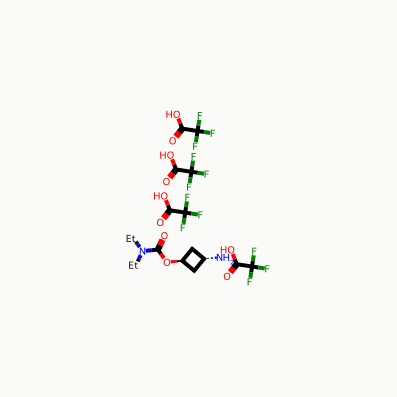 CCN(CC)C(=O)O[C@H]1C[C@H](N)C1.O=C(O)C(F)(F)F.O=C(O)C(F)(F)F.O=C(O)C(F)(F)F.O=C(O)C(F)(F)F